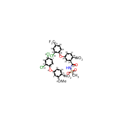 COc1cc(Oc2ccc(Cl)cc2Cl)ccc1[N+](=O)[O-].CS(=O)(=O)NC(=O)c1cc(Oc2ccc(C(F)(F)F)cc2Cl)ccc1[N+](=O)[O-]